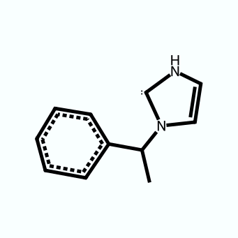 CC(c1ccccc1)N1[C]NC=C1